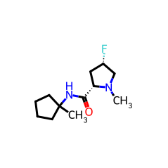 CN1C[C@@H](F)C[C@H]1C(=O)NC1(C)CCCC1